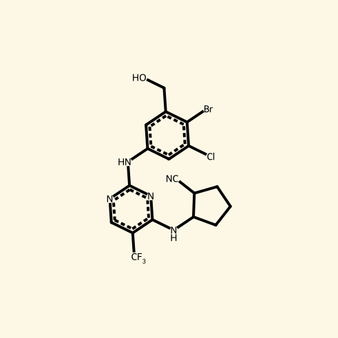 N#CC1CCCC1Nc1nc(Nc2cc(Cl)c(Br)c(CO)c2)ncc1C(F)(F)F